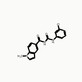 Cn1ccc2cc(C(=O)NC(=O)Nc3cccc(Cl)c3)ccc21